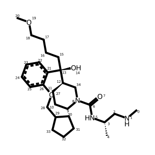 CNC[C@H](C)NC(=O)N1CCC[C@@H]([C@@](O)(CCCCOC)c2ccccc2OCC2CCCC2)C1